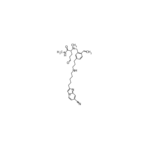 C=Cc1ccc(CCCNCCCCCc2cn3ccc(C#N)cc3n2)cc1CN(C)C(CCC=O)C(=O)NC